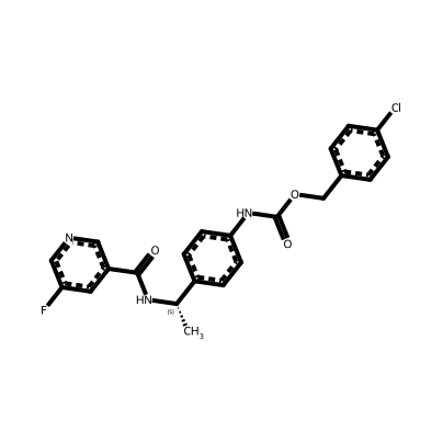 C[C@H](NC(=O)c1cncc(F)c1)c1ccc(NC(=O)OCc2ccc(Cl)cc2)cc1